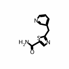 NC(=O)c1cnc(Cc2cccnc2)s1